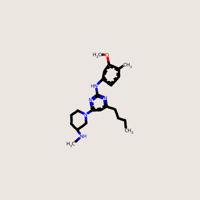 CCCCc1cc(N2CCCC(NC)C2)nc(Nc2ccc(C)c(OC)c2)n1